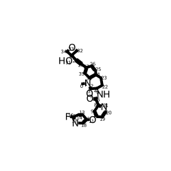 CN1C(=O)[C@@H](NC(=O)c2cc(Oc3ccc(F)nc3)ccn2)CCc2ccc(C#CC3(O)COC3)cc21